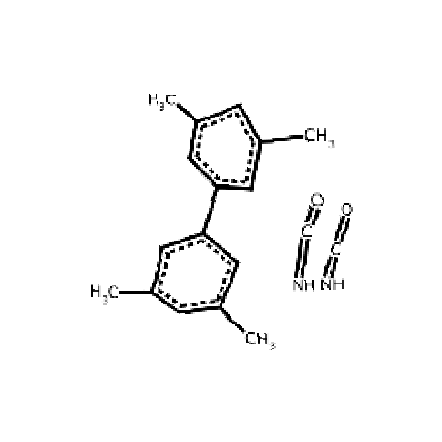 Cc1cc(C)cc(-c2cc(C)cc(C)c2)c1.N=C=O.N=C=O